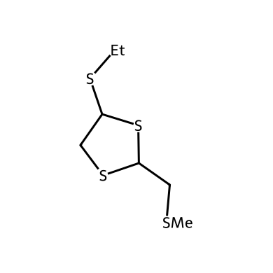 CCSC1CSC(CSC)S1